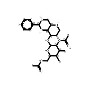 CC(=O)OCC1OC(OC2CCOC3COC(c4ccccc4)OC32)C(OC(C)=O)C(C)C1C